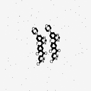 O=C(c1ccc(Cl)nn1)c1cc(-c2ncnc3cc(N4CCOCC4)ccc23)c(F)cc1Cl.O=C(c1ccc(Cl)nn1)c1cc(-c2ncnc3cc(N4CCOCC4)ccc23)c(F)cc1Cl